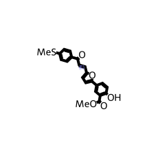 COC(=O)c1cc(-c2ccc(/C=C/C(=O)c3ccc(SC)cc3)o2)ccc1O